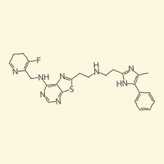 Cc1nc(CCNCCc2nc3c(NCC4=C(F)CCC=N4)ncnc3s2)[nH]c1-c1ccccc1